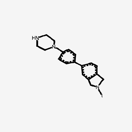 IN1Cc2ccc(-c3ccc(N4CCNCC4)cc3)cc2C1